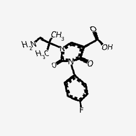 CC(C)(CN)n1cc(C(=O)O)c(=O)n(-c2ccc(F)cc2)c1=O